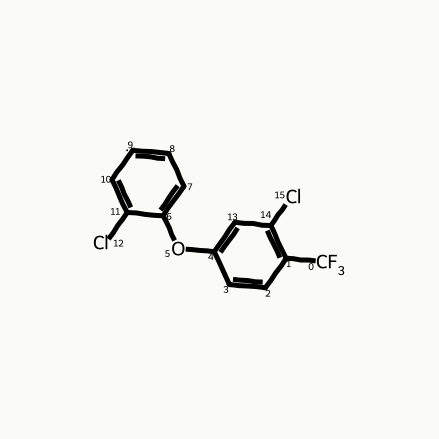 FC(F)(F)c1ccc(Oc2cc[c]cc2Cl)cc1Cl